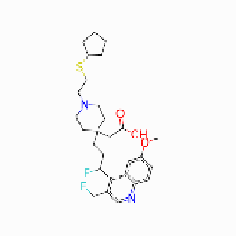 COc1ccc2ncc(CF)c(C(F)CCC3(CC(=O)O)CCN(CCSC4CCCC4)CC3)c2c1